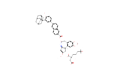 COC(=O)C[C@](O)(CCCC(C)(C)O)C(O)O[C@@H]1C(OC)=C[C@]23CCCN2C(OC(=O)c2ccc4cc(-c5ccc(OC)c(C67CC8CC(CC(C8)C6)C7)c5)ccc4c2)Cc2cc4c(cc2[C@H]13)OCO4